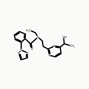 CCN(CCc1nccc(C(C)O)n1)C(=O)c1ccccc1-n1nccn1